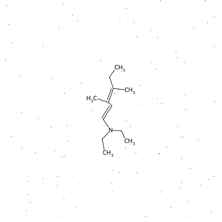 CC/C(C)=C(C)/C=C/N(CC)CC